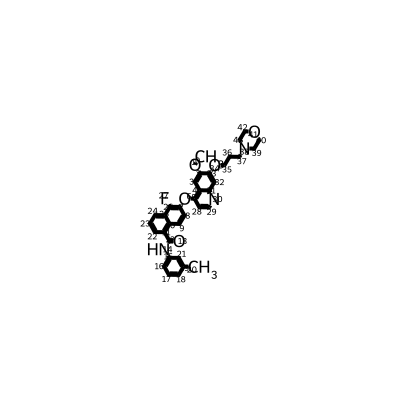 COc1cc2c(Oc3ccc4c(C(=O)Nc5cccc(C)c5)cccc4c3F)ccnc2cc1OCCCN1CCOCC1